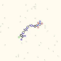 N#Cc1c[nH]c2c(N3CCC(c4cnc(N5CCC(CN6CCN(c7ccc8c(c7)CN(C7CCC(=O)NC7=O)C8=O)CC6)CC5)cn4)CC3)ccc(Cl)c12